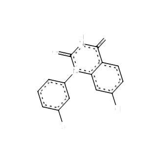 O=c1[nH]c(=O)n(-c2cccc(Br)c2)c2cc(Cl)ccc12